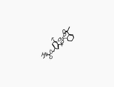 CNC(=O)OCc1cc(F)c(OS(=O)(=O)C2CCCC=C2C(C)=O)c(F)c1